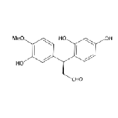 COc1ccc([C@H](CC=O)c2ccc(O)cc2O)cc1O